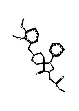 COC(=O)CN1CN(c2ccccc2)C2(CCN(Cc3cccc(OC)c3OC)CC2)C1=O